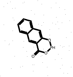 O=C1OPOc2cc3ccccc3cc21